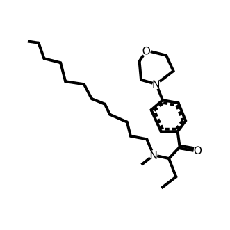 CCCCCCCCCCCCN(C)C(CC)C(=O)c1ccc(N2CCOCC2)cc1